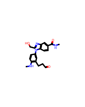 CNC(=O)c1ccc2c(c1)nc(CO)n2-c1ccc(NC)c(CCC=O)c1